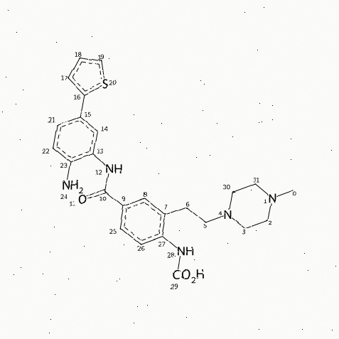 CN1CCN(CCc2cc(C(=O)Nc3cc(-c4cccs4)ccc3N)ccc2NC(=O)O)CC1